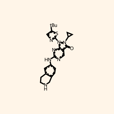 CC(C)(C)c1cnc(-n2c3nc(Nc4ccc5c(c4)CCNC5)ncc3c(=O)n2C2CC2)s1